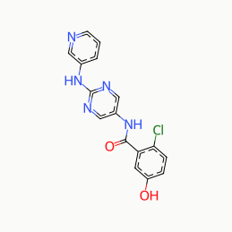 O=C(Nc1cnc(Nc2cccnc2)nc1)c1cc(O)ccc1Cl